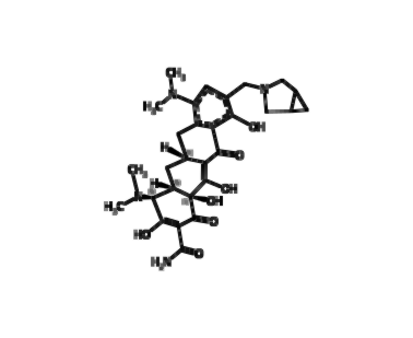 CN(C)c1cc(CN2CC3CC3C2)c(O)c2c1C[C@H]1C[C@H]3[C@H](N(C)C)C(O)=C(C(N)=O)C(=O)[C@@]3(O)C(O)=C1C2=O